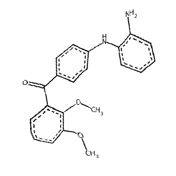 COc1cccc(C(=O)c2ccc(Nc3ccccc3N)cc2)c1OC